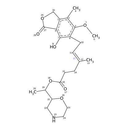 COc1c(C)c2c(c(O)c1C/C=C(\C)CCC(=O)OC(C)C1CNCCO1)C(=O)OC2